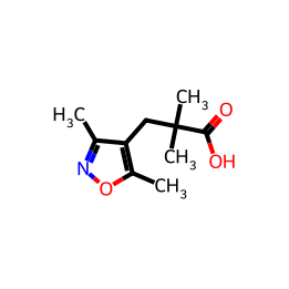 Cc1noc(C)c1CC(C)(C)C(=O)O